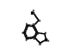 BrCc1cccc2c1COC2